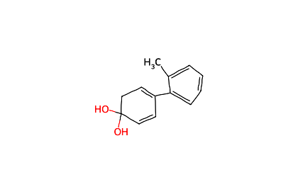 Cc1ccccc1C1=CCC(O)(O)C=C1